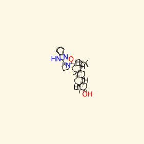 C=C(C)[C@@H]1CC[C@]2(C(=O)N3CCC[C@H]3c3nc4ccccc4[nH]3)CC[C@]3(C)[C@H](CC[C@@H]4[C@@]5(C)CC[C@H](O)C(C)(C)[C@@H]5CC[C@]43C)[C@@H]12